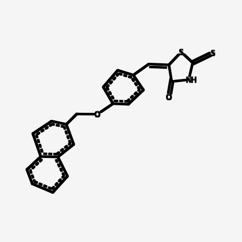 O=C1NC(=S)SC1=Cc1ccc(OCc2ccc3ccccc3c2)cc1